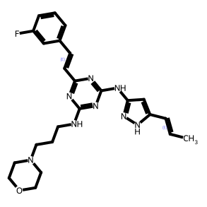 C/C=C/c1cc(Nc2nc(/C=C/c3cccc(F)c3)nc(NCCCN3CCOCC3)n2)n[nH]1